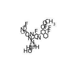 COCOc1cc(-c2ncc3c(N4C[C@@H]5C[C@H](C4)[C@H](O)C5)nc(OC[C@@]45CCCN4C[C@H](F)C5)nc3c2F)c2ccccc2c1C(F)(F)F